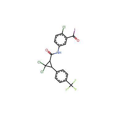 O=C(I)c1cc(NC(=O)C2C(c3ccc(C(F)(F)F)cc3)C2(Cl)Cl)ccc1Cl